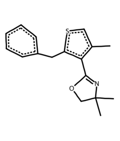 Cc1csc(Cc2ccccc2)c1C1=NC(C)(C)CO1